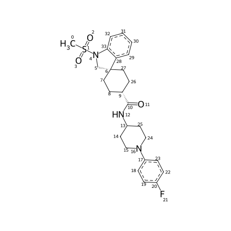 CS(=O)(=O)N1C[C@]2(CC[C@@H](C(=O)NC3CCN(c4ccc(F)cc4)CC3)CC2)c2ccccc21